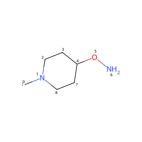 [CH]N1CCC(ON)CC1